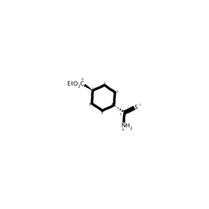 CCOC(=O)[C@H]1CC[C@H](C(N)=S)CC1